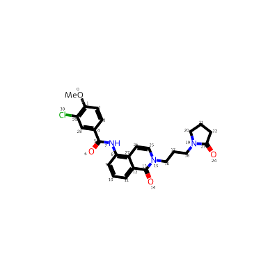 COc1ccc(C(=O)Nc2cccc3c(=O)n(CCCN4CCCC4=O)ccc23)cc1Cl